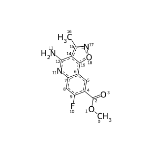 COC(=O)c1cc2c(cc1F)nc(N)c1c(C)noc12